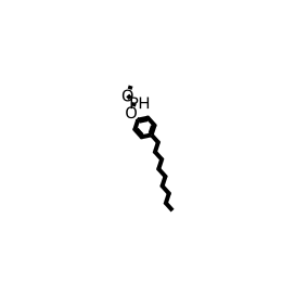 CCCCCCCCCc1ccc(OPOC)cc1